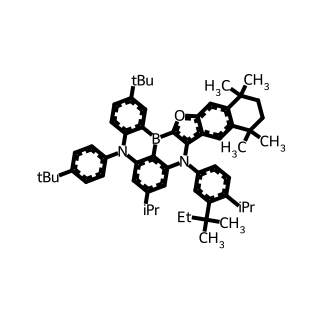 CCC(C)(C)c1cc(N2c3cc(C(C)C)cc4c3B(c3cc(C(C)(C)C)ccc3N4c3ccc(C(C)(C)C)cc3)c3oc4cc5c(cc4c32)C(C)(C)CCC5(C)C)ccc1C(C)C